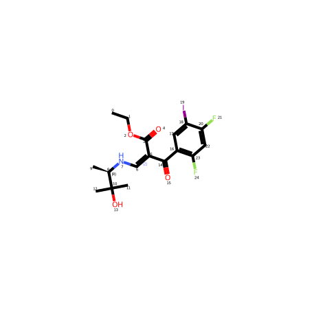 CCOC(=O)/C(=C\N[C@H](C)C(C)(C)O)C(=O)c1cc(I)c(F)cc1F